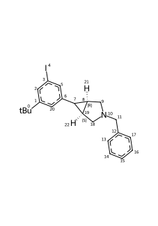 CC(C)(C)c1cc(I)cc(C2[C@H]3CN(Cc4ccccc4)C[C@@H]23)c1